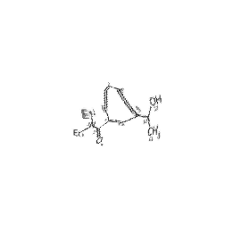 CCN(CC)C(=O)c1cccc(C(C)O)c1